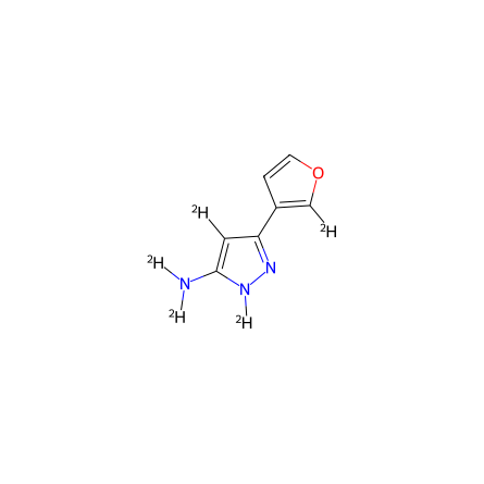 [2H]c1occc1-c1nn([2H])c(N([2H])[2H])c1[2H]